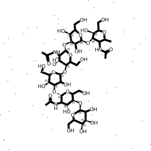 CC(=O)NC1[C@H](O[C@@H]2C(O)[C@H](O[C@@H]3C(CO)O[C@@H](O[C@@H]4C(O)[C@H](O[C@@H]5C(NC(C)=O)C(C)OC(CO)[C@@H]5O)OC(CO)[C@@H]4O)C(NC(C)=O)[C@H]3O)OC(CO)[C@@H]2O)OC(CO)[C@@H](O[C@@H]2OC(CO)[C@H](O)[C@H](O)C2O)[C@@H]1O